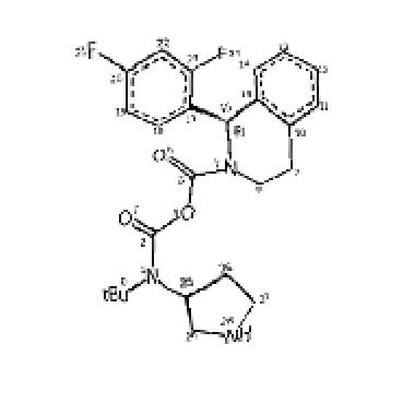 CC(C)(C)N(C(=O)OC(=O)N1CCc2ccccc2[C@@H]1c1ccc(F)cc1F)C1CCNC1